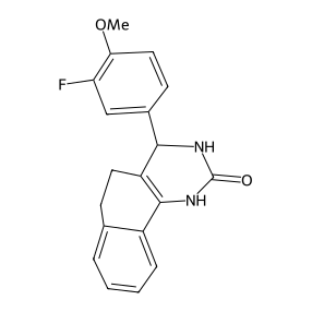 COc1ccc(C2NC(=O)NC3=C2CCc2ccccc23)cc1F